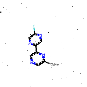 COc1cn[c]c(-c2cnc(F)cn2)n1